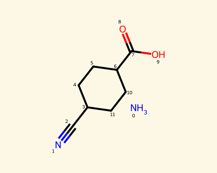 N.N#CC1CCC(C(=O)O)CC1